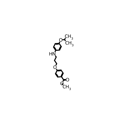 COC(=O)c1ccc(OCCCNc2ccc(OC(C)C)cc2)cc1